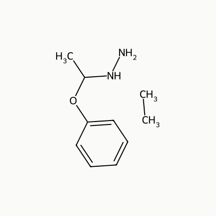 CC.CC(NN)Oc1ccccc1